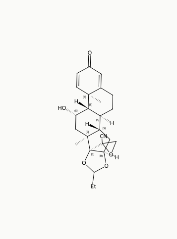 CCC1O[C@@H]2C[C@H]3[C@@H]4CCC5=CC(=O)C=C[C@]5(C)[C@H]4[C@@H](O)C[C@]3(C)[C@]2(C2(C#N)CO2)O1